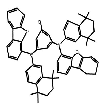 CC1(C)CCC(C)(C)c2cc(N(c3cc(Cl)cc(N(c4ccc5c(c4)C(C)(C)CCC5(C)C)c4cccc5c4oc4ccccc45)c3)c3cccc4c5c(oc34)C=CCC5)ccc21